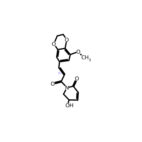 COc1cc(/C=C/C(=O)N2CC(O)C=CC2=O)cc2c1OCCO2